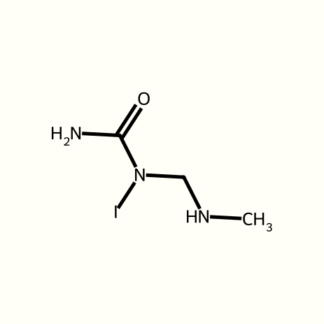 CNCN(I)C(N)=O